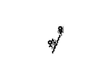 CCCCCCCN(CCCCCCSc1nc2ncccc2o1)C(=O)Nc1c(C(C)C)cccc1C(C)C